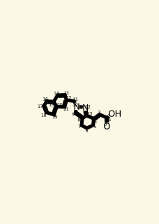 O=C(O)/C=C1\CCCc2cn(Cc3ccc4ccccc4c3)nc21